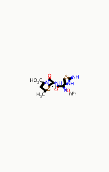 CCCO/N=C(/C(=O)NC1C(=O)N2C(C(=O)O)=CC(C)S[C@H]12)c1csc(=N)[nH]1